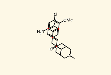 COc1cc(C=CC(=O)N2C3CN(C)CC2CN(Cc2ccc(F)cc2)C3)c(N)cc1Cl